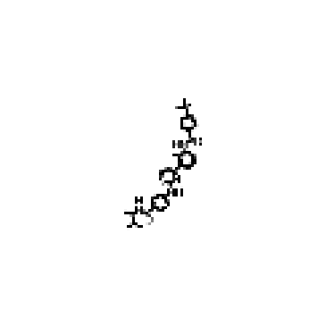 Cc1c(NC(=O)c2ccc(C(C)(C)C)cc2)cccc1-c1ccnc(Nc2ccc(C(=O)NC(C)C(C)C)cc2)n1